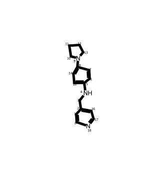 c1cc(CNc2ccc(N3CCCC3)cc2)ccn1